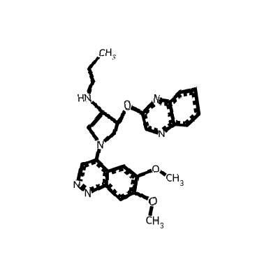 CCCNC1CN(c2cnnc3cc(OC)c(OC)cc23)CC1Oc1cnc2ccccc2n1